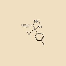 NC(C(=O)O)C(S)(c1ccc(F)cc1)C1CC1